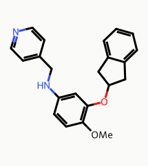 COc1ccc(NCc2ccncc2)cc1OC1Cc2ccccc2C1